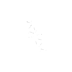 CC(O)(c1ccc(C(=O)O)cc1)C(C)(O)c1ccc(C(=O)O)cc1